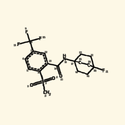 CS(=O)(=O)c1ccc(C(F)(F)F)cc1C(=O)NC12CCC(F)(CC1)CC2